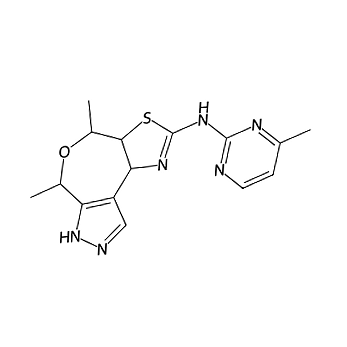 Cc1ccnc(NC2=NC3c4cn[nH]c4C(C)OC(C)C3S2)n1